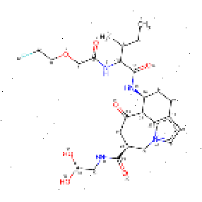 CCC(C)C(NC(=O)COCCF)C(=O)N[C@H]1CCc2ccn3c2C1C(=O)C[C@H](C(=O)NCB(O)O)C3